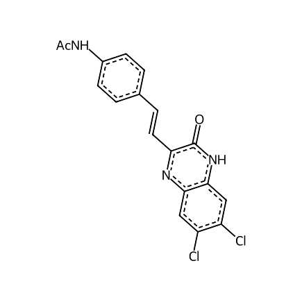 CC(=O)Nc1ccc(C=Cc2nc3cc(Cl)c(Cl)cc3[nH]c2=O)cc1